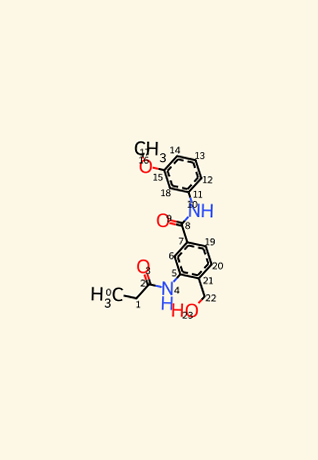 CCC(=O)Nc1cc(C(=O)Nc2cccc(OC)c2)ccc1CO